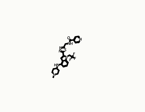 CN1CCC(Nc2cccc3c2cc(-c2nnc(CNC(=O)c4ccncc4)s2)n3CC(F)(F)F)CC1